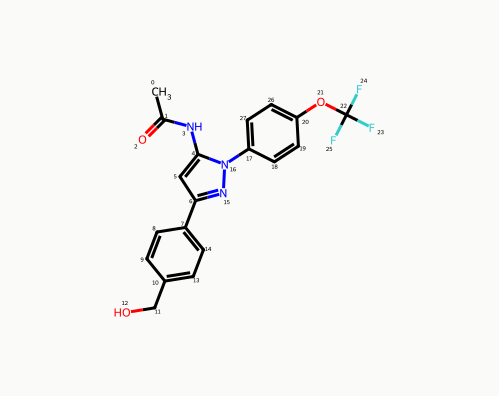 CC(=O)Nc1cc(-c2ccc(CO)cc2)nn1-c1ccc(OC(F)(F)F)cc1